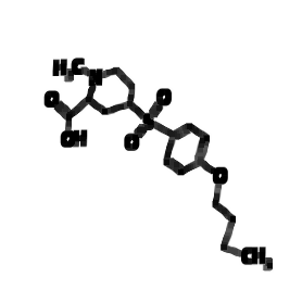 CCCCOc1ccc(S(=O)(=O)C2CCN(C)C(C(=O)O)C2)cc1